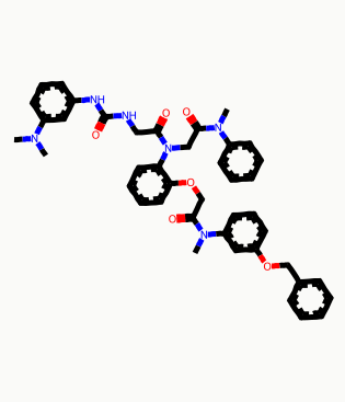 CN(C)c1cccc(NC(=O)NCC(=O)N(CC(=O)N(C)c2ccccc2)c2ccccc2OCC(=O)N(C)c2cccc(OCc3ccccc3)c2)c1